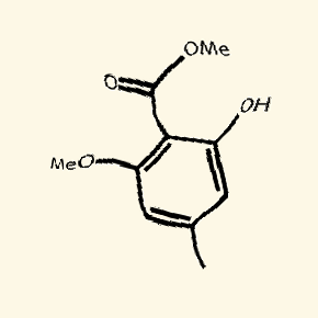 COC(=O)c1c(O)cc(C)cc1OC